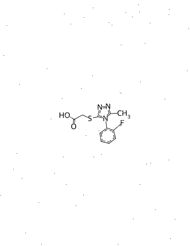 Cc1nnc(SCC(=O)O)n1-c1ccccc1F